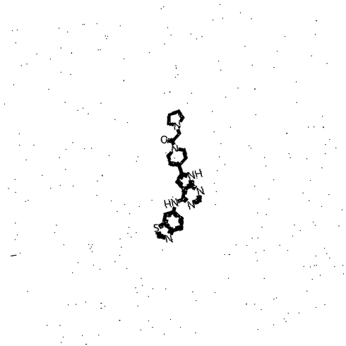 O=C(CN1CCCC1)N1CC=C(c2cc3c(Nc4ccc5ncsc5c4)ncnc3[nH]2)CC1